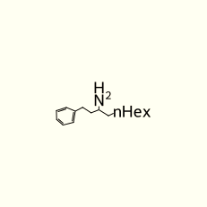 CCCCCCCC(N)CCc1ccccc1